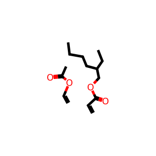 C=CC(=O)OCC(CC)CCCC.C=COC(C)=O